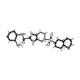 Nc1ccccc1NC(=O)c1nc2c(s1)CN(S(=O)(=O)c1ccc3ccccc3c1)CC2